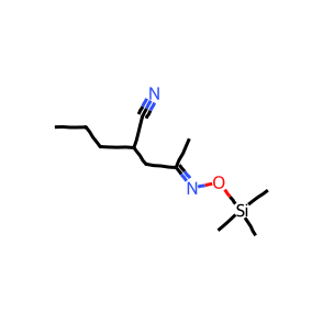 CCCC(C#N)C/C(C)=N/O[Si](C)(C)C